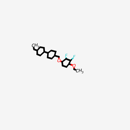 CCOC1CCC(OCC2CCC(C3CCC(CC)CC3)CC2)C(F)C1F